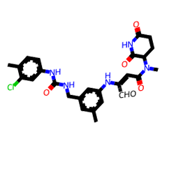 Cc1cc(CNC(=O)Nc2ccc(C)c(Cl)c2)cc(N/C(C=O)=C/C(=O)N(C)C2CCC(=O)NC2=O)c1